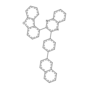 c1ccc2cc(-c3ccc(-c4nc5ccccc5nc4-c4cccc5oc6ccccc6c45)cc3)ccc2c1